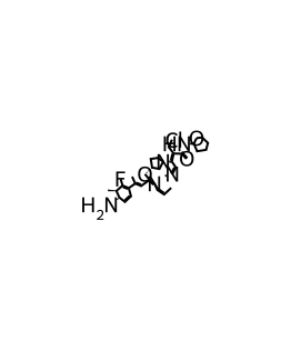 C\C=C/N=C(\C=C(/C)C1=C(F)[C@H](C)[C@@H](N)C=C1)O[C@@H]1CCN(C(/C=N\C)=C(\CCl)C(=O)NC2CCCCO2)C1